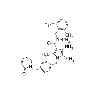 Cc1cccc(C)c1CN(C)C(=O)c1c(N)c(C)n(Cc2ccc(Cn3ccccc3=O)cc2)c1C